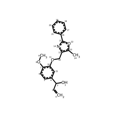 C=CC(O)c1ccc(OC)c(OCc2nc(-c3ccccc3)oc2C)c1